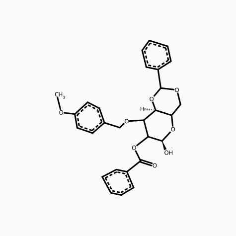 COc1ccc(COC2C(OC(=O)c3ccccc3)[C@H](O)OC3COC(c4ccccc4)O[C@@H]32)cc1